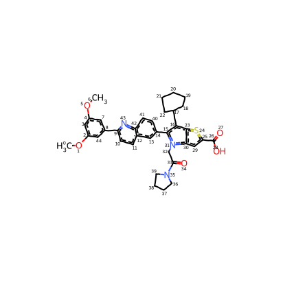 COc1cc(OC)cc(-c2ccc3cc(-c4c(C5CCCCC5)c5sc(C(=O)O)cc5n4CC(=O)N4CCCC4)ccc3n2)c1